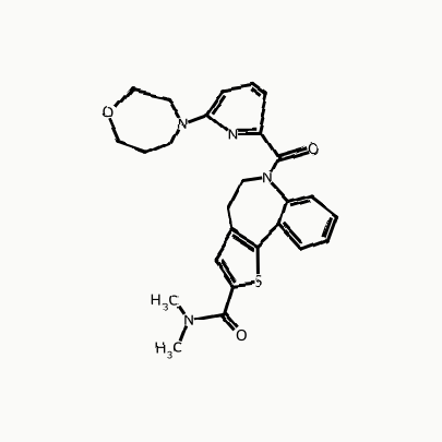 CN(C)C(=O)c1cc2c(s1)-c1ccccc1N(C(=O)c1cccc(N3CCCOCC3)n1)CC2